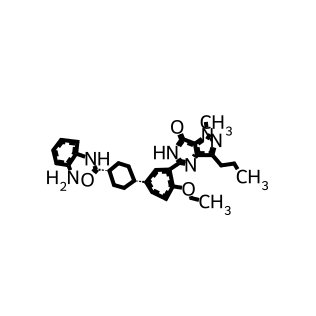 CCCc1nn(C)c2c(=O)[nH]c(-c3cc([C@H]4CC[C@@H](C(=O)Nc5ccccc5N)CC4)ccc3OCC)nc12